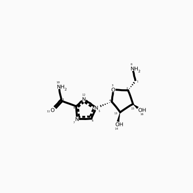 NC[C@H]1O[C@@H](n2cnc(C(N)=O)n2)[C@H](O)[C@@H]1O